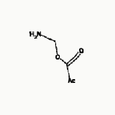 CC(=O)C(=O)OCN